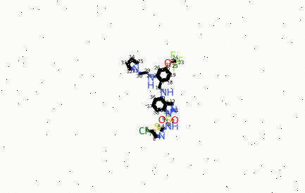 O=S(=O)(Nc1ncc(Cl)s1)n1ncc2c(NCc3ccc(OC(F)(F)F)cc3NCCn3cccc3)cccc21